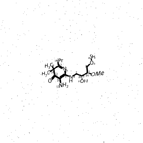 CO[C@H](COS)[C@H](O)CNC1=C(N)C(=O)C(C)(C)C(C(C)C)=N1